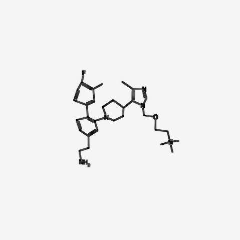 Cc1cc(-c2ccc(CCN)cc2N2CCC(c3c(C)ncn3COCC[Si](C)(C)C)CC2)ccc1F